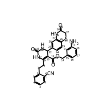 N#Cc1ccccc1CCC1=C(C(=O)OCc2cccc(N)c2)C(c2ccc3c(c2)NC(=O)CS3)NC(=O)N1